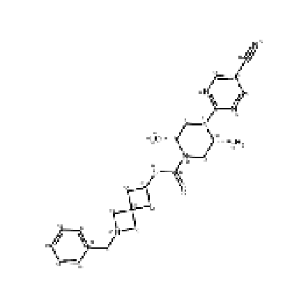 C[C@@H]1CN(c2ncc(C#N)cn2)[C@H](C)CN1C(=O)OC1CC2(C1)CN(Cc1ccccc1)C2